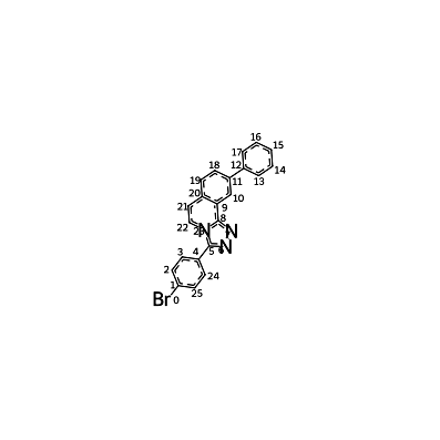 Brc1ccc(-c2nnc3c4cc(-c5ccccc5)ccc4ccn23)cc1